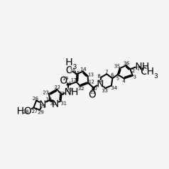 CNc1ccc(C2CCN(C(=O)c3ccc(C)c(C(=O)Nc4ccc(N5CC(O)C5)nc4)c3)CC2)cc1